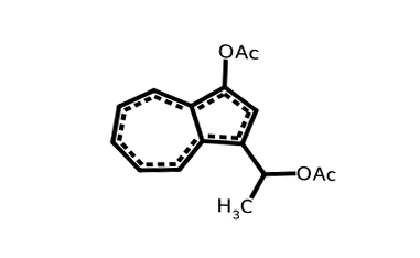 CC(=O)Oc1cc(C(C)OC(C)=O)c2cccccc1-2